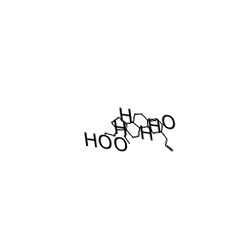 C=CCC1C[C@H]2C(=CC1=O)CC[C@@H]1[C@@H]2CC[C@]2(CC)[C@@H](C(=O)CO)CC[C@@H]12